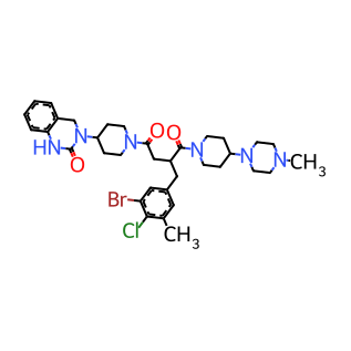 Cc1cc(CC(CC(=O)N2CCC(N3Cc4ccccc4NC3=O)CC2)C(=O)N2CCC(N3CCN(C)CC3)CC2)cc(Br)c1Cl